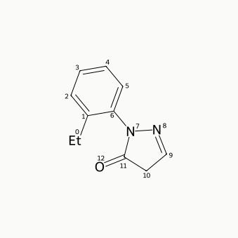 CCc1ccccc1N1N=CCC1=O